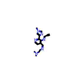 C#C/C=N/c1c(/C=N\CCN(C)C)ccnc1-c1cn(C)cn1